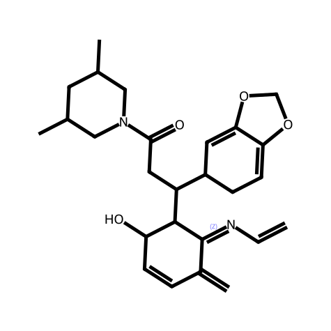 C=C/N=C1\C(=C)C=CC(O)C1C(CC(=O)N1CC(C)CC(C)C1)C1C=C2OCOC2=CC1